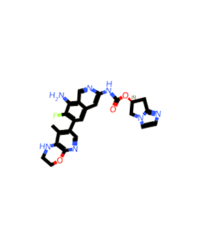 Cc1c(-c2cc3cc(NC(=O)O[C@H]4Cc5nccn5C4)ncc3c(N)c2F)cnc2c1NCCO2